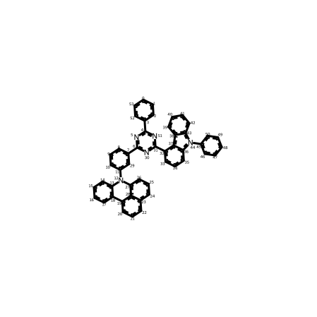 c1ccc(-c2nc(-c3cccc(N4c5ccccc5-c5cccc6cccc4c56)c3)nc(-c3cccc4c3c3ccccc3n4-c3ccccc3)n2)cc1